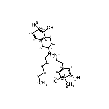 CCCCCCN(NCCc1cc(O)c(C)c(O)c1)C1CCc2c(ccc(O)c2O)C1